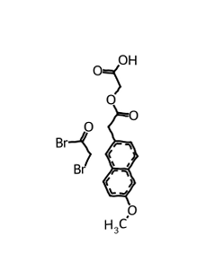 COc1ccc2cc(CC(=O)OCC(=O)O)ccc2c1.O=C(Br)CBr